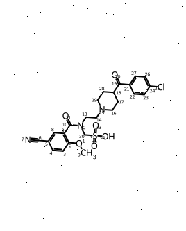 COc1ccc(C#N)cc1C(=O)N(CCN1CCC(C(=O)c2ccc(Cl)cc2)CC1)CS(=O)(=O)O